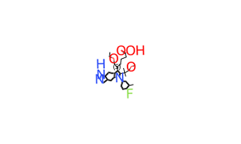 CCOC[C@@H](CCCC(=O)O)c1c(C(C)(C)COC)n(-c2ccc(F)c(C)c2)c2cc3cn[nH]c3cc12